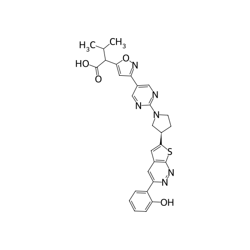 CC(C)C(C(=O)O)c1cc(-c2cnc(N3CC[C@@H](c4cc5cc(-c6ccccc6O)nnc5s4)C3)nc2)no1